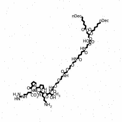 CCCCCCCCCCCCCCCC(=O)OCC(COP(=O)(O)OCCNC(=O)CCCC(=O)NCCOCCOCC(=O)NCCOCCOCC(=O)NC(C(=O)NC(CCCCN)C(=O)N1CCCC1C(=O)N1CCCC1C(=O)NC(CCCNC(=N)N)C(=O)O)C(C)O)OC(=O)CCCCCCCCCCCCCCC